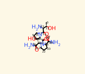 C[C@@H](O)[C@H](N)C(=O)N1CCC[C@H]1C(=O)[N+]1([C@@H](CO)C(N)=O)CCCC1C(N)=O